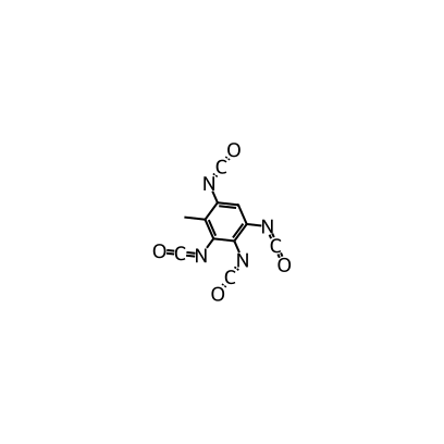 Cc1c(N=C=O)cc(N=C=O)c(N=C=O)c1N=C=O